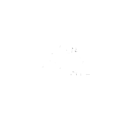 C#Cc1ccc2nc(C)c(C)c(C(=O)O)c2c1